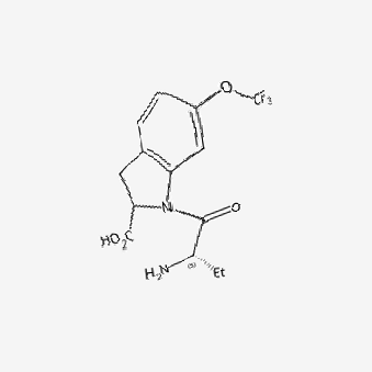 CC[C@H](N)C(=O)N1c2cc(OC(F)(F)F)ccc2CC1C(=O)O